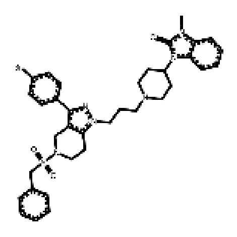 Cn1c(=O)n(C2CCN(CCCn3nc(-c4ccc(Br)cc4)c4c3CCN(S(=O)(=O)Cc3ccccc3)C4)CC2)c2ccccc21